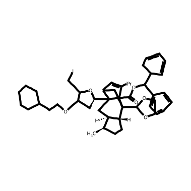 CC(C)C1=CC2CC3(C4OCCO4)[C@@H]4CC[C@@H](C)[C@H]4CC2([C@H]2CC(OCCC4CCCCC4)C(CI)O2)C13C(=O)OC(c1ccccc1)C1C=CC=CC1